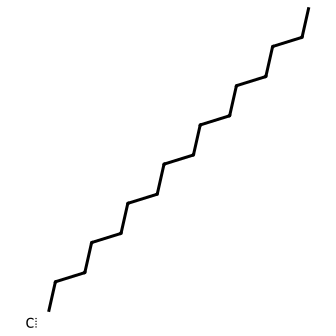 CCCCCCCCCCCCCCCC.[C]